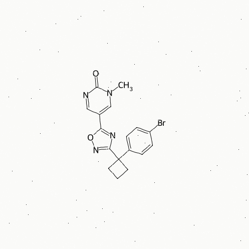 Cn1cc(-c2nc(C3(c4ccc(Br)cc4)CCC3)no2)cnc1=O